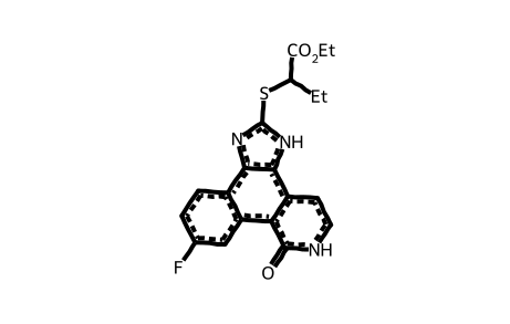 CCOC(=O)C(CC)Sc1nc2c3ccc(F)cc3c3c(=O)[nH]ccc3c2[nH]1